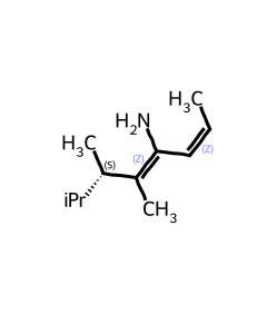 C/C=C\C(N)=C(/C)[C@@H](C)C(C)C